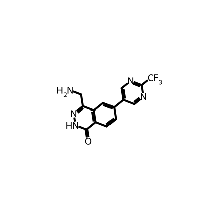 NCc1n[nH]c(=O)c2ccc(-c3cnc(C(F)(F)F)nc3)cc12